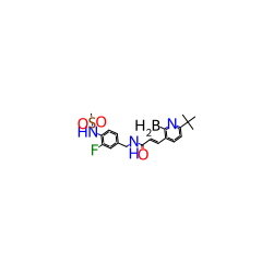 Bc1nc(C(C)(C)C)ccc1/C=C/C(=O)NCc1ccc(NS(C)(=O)=O)c(F)c1